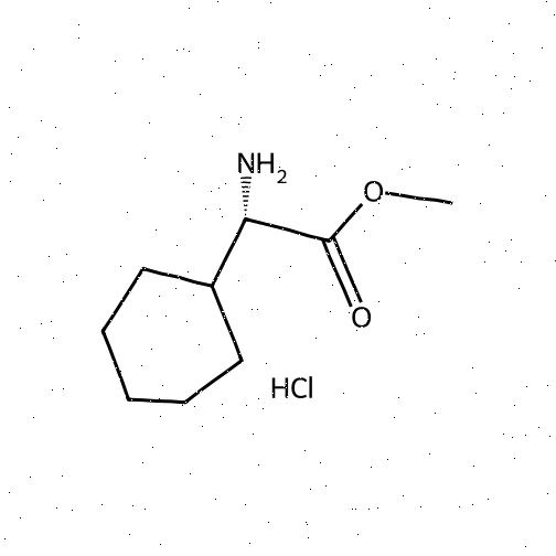 COC(=O)[C@@H](N)C1CCCCC1.Cl